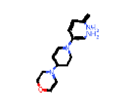 C=C(N)/C=C\C(=C/N)N1CCC(N2CCOCC2)CC1